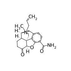 C=CC[N+]1(C)CC[C@]23c4c5ccc(C(N)=O)c4O[C@H]2C(=O)CC[C@H]3[C@H]1C5